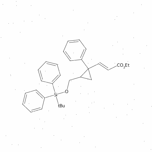 CCOC(=O)/C=C/C1(c2ccccc2)CC1CO[Si](c1ccccc1)(c1ccccc1)C(C)(C)C